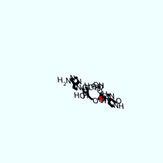 Nc1ncnc2c1ccn2[C@@H]1O[C@@H]2COP(=O)(O)O[C@@H]3[C@H](O)C(OCC[C@H]2[C@H]1O)O[C@H]3n1cnc2c(=O)[nH]ccc21